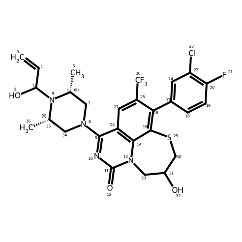 C=CC(O)N1[C@H](C)CN(c2nc(=O)n3c4c(c(-c5ccc(F)c(Cl)c5)c(C(F)(F)F)cc24)SCC(O)C3)C[C@@H]1C